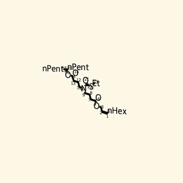 CCCCCC/C=C\COC(=O)CCCN(CCCC(=O)OC(CCCCC)CCCCC)C(=O)SCC